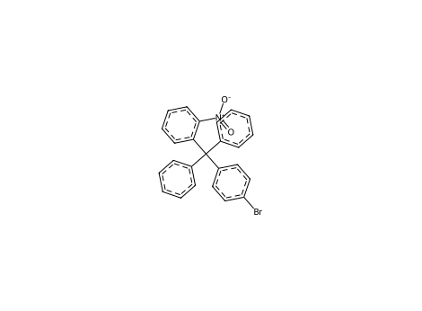 O=[N+]([O-])c1ccccc1C(c1ccccc1)(c1ccccc1)c1ccc(Br)cc1